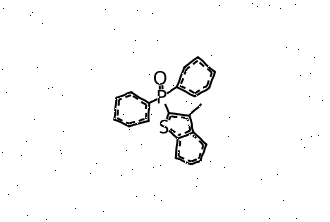 Cc1c(P(=O)(c2ccccc2)c2ccccc2)sc2ccccc12